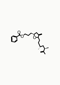 C=C1C[C@H](CCCOC(=O)c2ccccc2)OC1CC[C@@H](C)C[C@@H](C)C(=C)C